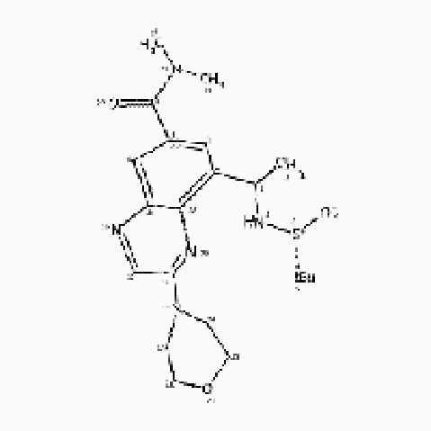 CC(N[S@+]([O-])C(C)(C)C)c1cc(C(=O)N(C)C)cc2ncc(N3CCOCC3)nc12